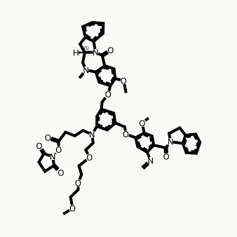 C=Nc1cc(OCc2cc(COc3cc4c(cc3OC)C(=O)N3c5ccccc5C[C@H]3CN4C)cc(N(CCCC(=O)ON3C(=O)CCC3=O)CCOCCOCCOC)c2)c(OC)cc1C(=O)N1CCc2ccccc21